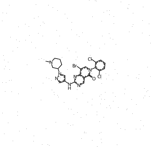 CN1CCCC(n2cc(Nc3ncc4c(=O)n(-c5c(Cl)cccc5Cl)cc(Br)c4n3)cn2)C1